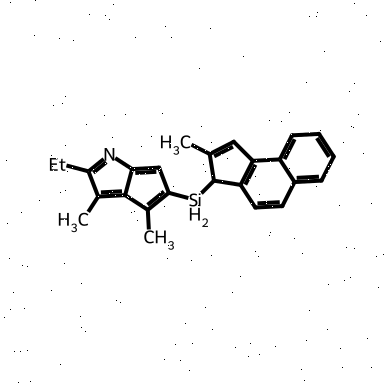 CCC1=NC2=CC([SiH2]C3C(C)=Cc4c3ccc3ccccc43)=C(C)C2=C1C